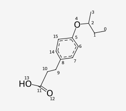 CCC(C)Oc1ccc(CCC(=O)O)cc1